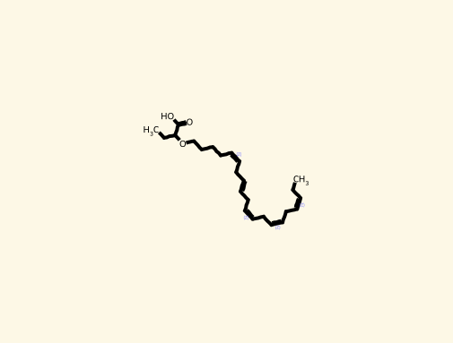 CC/C=C\C/C=C\C/C=C\CC=CC/C=C\CCCCOC(CC)C(=O)O